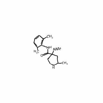 CNC1(C(=O)Nc2c(C)cccc2C)CCNC(C)C1